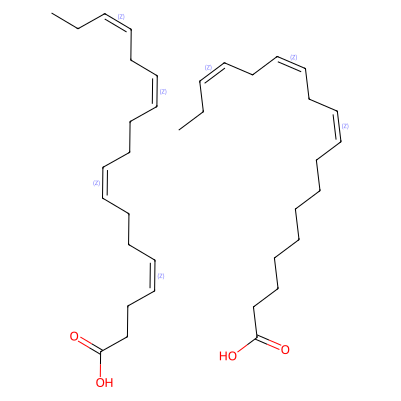 CC/C=C\C/C=C\C/C=C\CCCCCCCC(=O)O.CC/C=C\C/C=C\CC/C=C\CC/C=C\CCC(=O)O